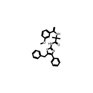 C=C(NC(C)(C)C(=O)Nc1nc(-c2ccccc2)c(Cc2ccccc2)s1)c1cccc(OC)c1